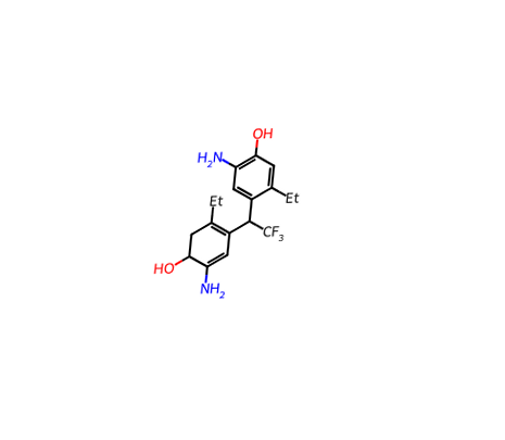 CCC1=C(C(c2cc(N)c(O)cc2CC)C(F)(F)F)C=C(N)C(O)C1